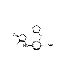 COc1ccc(NC2=C(C)C(=O)CC2)cc1OC1CCCC1